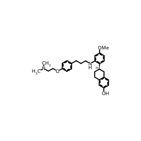 COc1ccc([C@@H]2CCc3cc(O)ccc3C2)c(NCCCc2ccc(OCCN(C)C)cc2)c1